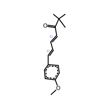 COc1ccc(/C=C/C=C/C(=O)C(C)(C)C)cc1